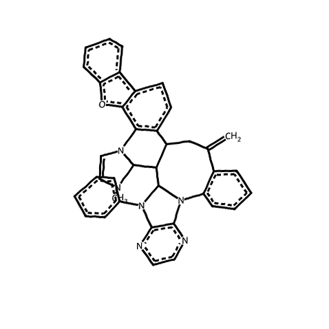 C=C1CC2c3ccc4c(oc5ccccc54)c3N3C=CN(C)C3C2C2N(c3ccccc3)c3nccnc3N2c2ccccc21